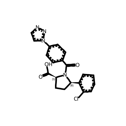 O=C(O)[C@@H]1CC[C@H](c2ccccc2Cl)N1C(=O)c1ccc(-n2ccnn2)cc1